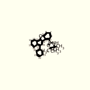 CC1(C)NB(c2cccc3oc4c5ccccc5c(-c5cc#ccc5)cc4c23)OC1(C)C